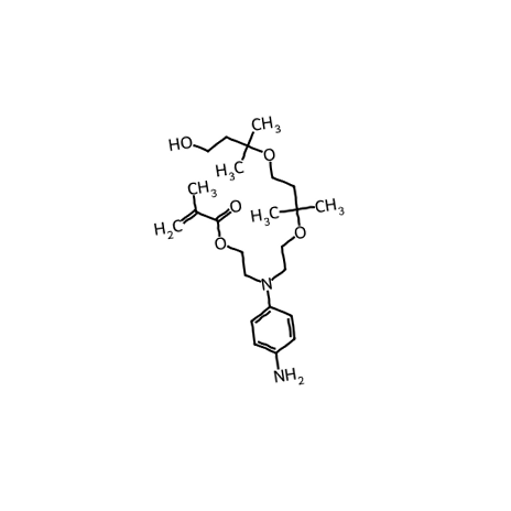 C=C(C)C(=O)OCCN(CCOC(C)(C)CCOC(C)(C)CCO)c1ccc(N)cc1